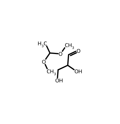 COC(C)OC.O=CC(O)CO